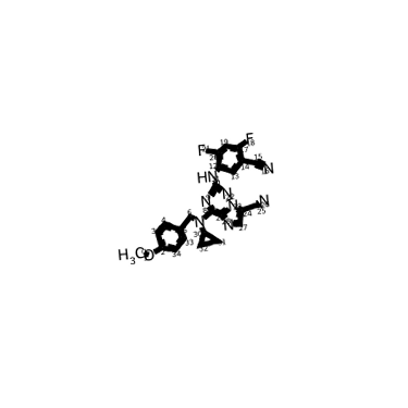 COc1ccc(CN(c2nc(Nc3cc(C#N)c(F)cc3F)nn3c(C#N)cnc23)C2CC2)cc1